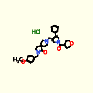 COc1ccc(CN2CCC3(CCN(C[C@H]4CN(C(=O)C5CCOCC5)C[C@@H]4c4ccccc4)CC3)C2=O)cc1.Cl